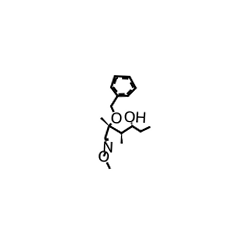 CC[C@@H](O)[C@@H](C)[C@](C)(/C=N/OC)OCc1ccccc1